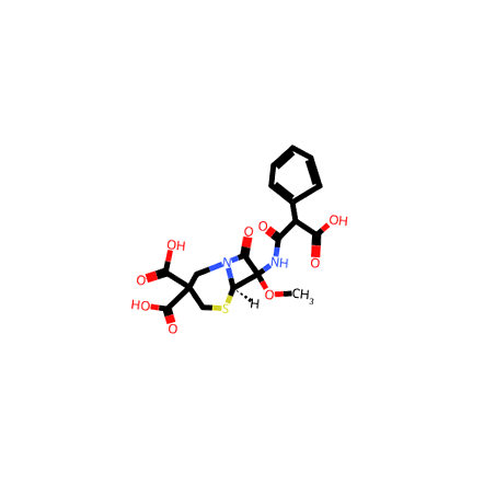 COC1(NC(=O)C(C(=O)O)c2ccccc2)C(=O)N2CC(C(=O)O)(C(=O)O)CS[C@@H]21